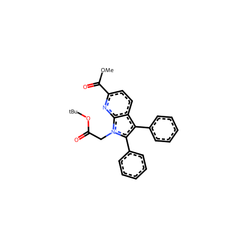 COC(=O)c1ccc2c(-c3ccccc3)c(-c3ccccc3)n(CC(=O)OC(C)(C)C)c2n1